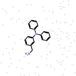 NCc1cccc(N(c2cc[c]cc2)c2ccccc2)c1